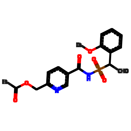 CCOc1ccccc1C(C=O)S(=O)(=O)NC(=O)c1ccc(COC(=O)CC)nc1